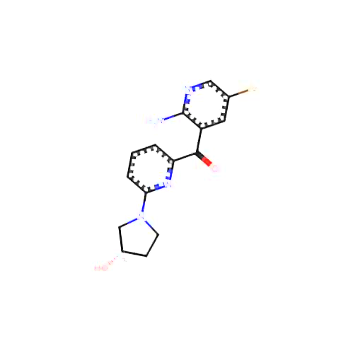 Nc1ncc(Br)cc1C(=O)c1cccc(N2CC[C@H](O)C2)n1